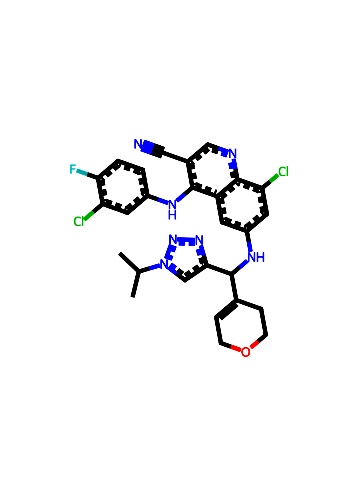 CC(C)n1cc(C(Nc2cc(Cl)c3ncc(C#N)c(Nc4ccc(F)c(Cl)c4)c3c2)C2=CCOCC2)nn1